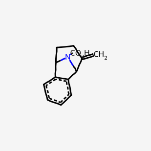 C=C1CCC2c3ccccc3C1N2C(=O)O